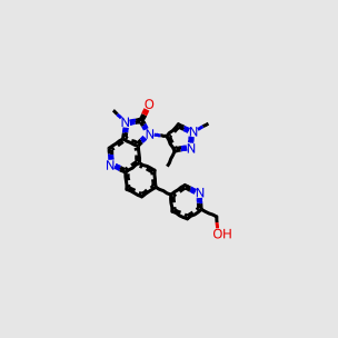 Cc1nn(C)cc1-n1c(=O)n(C)c2cnc3ccc(-c4ccc(CO)nc4)cc3c21